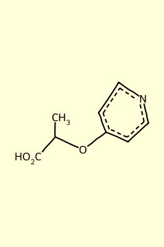 CC(Oc1ccncc1)C(=O)O